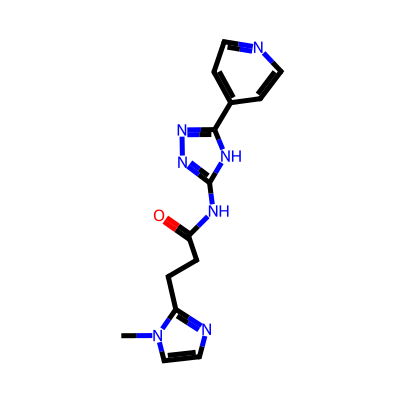 Cn1ccnc1CCC(=O)Nc1nnc(-c2ccncc2)[nH]1